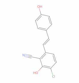 N#Cc1c(C=Cc2ccc(O)cc2)ccc(Cl)c1O